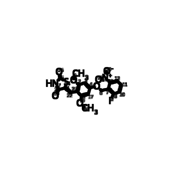 COc1cc(OCc2c(F)cccc2[N+](=O)[O-])cc(OC)c1C=C1SC(=O)NC1=O